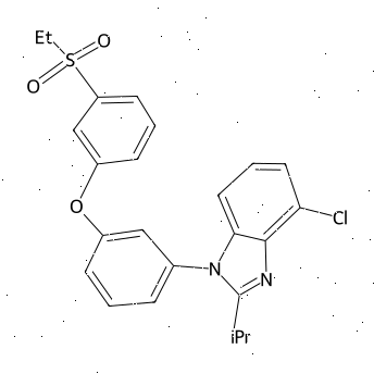 CCS(=O)(=O)c1cccc(Oc2cccc(-n3c(C(C)C)nc4c(Cl)cccc43)c2)c1